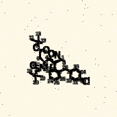 Cc1noc([C@H](CC(=O)OC(C)(C)C)N[S@+]([O-])C(C)(C)C)c1-c1ccccc1Cc1ccc(Cl)cc1